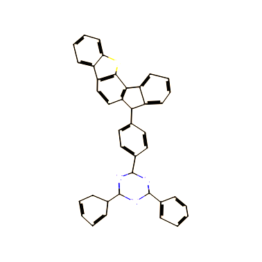 C1=CCC(C2NC(c3ccccc3)NC(c3ccc(C4c5ccccc5-c5c4ccc4c5sc5ccccc54)cc3)N2)C=C1